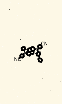 N#Cc1ccc(N(c2ccccc2)c2ccc3ccc4c(N(c5ccc(C#N)cc5)c5ccc(-c6ccccc6)cc5)ccc5ccc2c3c54)cc1